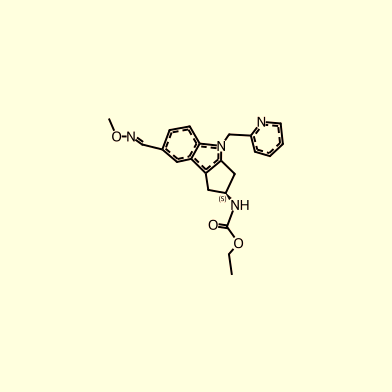 CCOC(=O)N[C@H]1Cc2c(n(Cc3ccccn3)c3ccc(C=NOC)cc23)C1